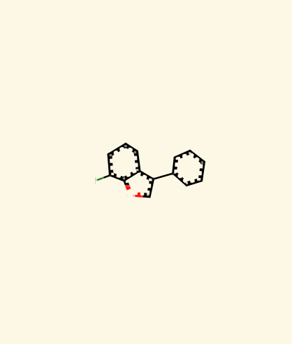 Clc1cccc2c(-c3ccccc3)coc12